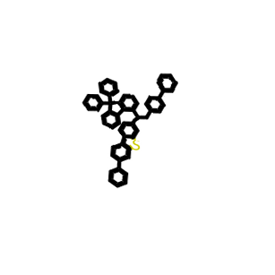 c1ccc(-c2ccc(CC(c3ccc4c(c3)sc3cc(-c5ccccc5)ccc34)c3cccc4c3-c3ccccc3C4(c3ccccc3)c3ccccc3)cc2)cc1